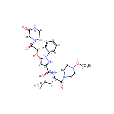 CCOC(=O)ON1CCN(C(=O)[C@H](CCC(=O)O)NC(=O)c2cc(OCC(=O)N3CCNC(=O)C3)n(-c3ccccc3)n2)CC1